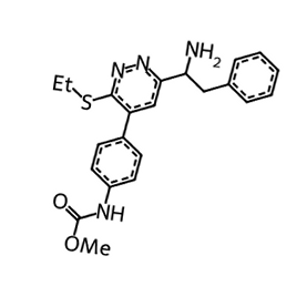 CCSc1nnc(C(N)Cc2ccccc2)cc1-c1ccc(NC(=O)OC)cc1